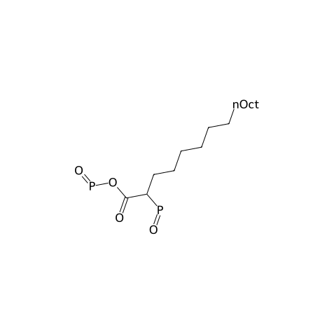 CCCCCCCCCCCCCCC(P=O)C(=O)OP=O